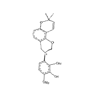 COc1ccc([C@@H]2COc3c(ccc4c3C=CC(C)(C)O4)C2)c(O)c1O